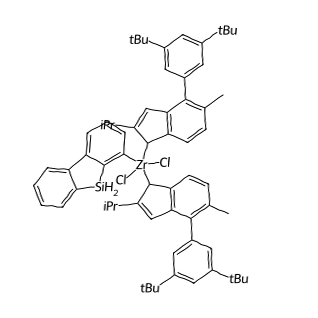 Cc1ccc2c(c1-c1cc(C(C)(C)C)cc(C(C)(C)C)c1)C=C(C(C)C)[CH]2[Zr]([Cl])([Cl])([c]1cccc2c1[SiH2]c1ccccc1-2)[CH]1C(C(C)C)=Cc2c1ccc(C)c2-c1cc(C(C)(C)C)cc(C(C)(C)C)c1